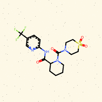 O=C(Nc1ccc(C(F)(F)F)cn1)C1CCCCN1C(=O)N1CCS(=O)(=O)CC1